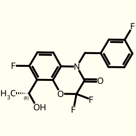 C[C@@H](O)c1c(F)ccc2c1OC(F)(F)C(=O)N2Cc1cccc(F)c1